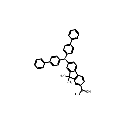 CC1(C)c2cc(B(O)O)ccc2-c2ccc(N(c3ccc(-c4ccccc4)cc3)c3ccc(-c4ccccc4)cc3)cc21